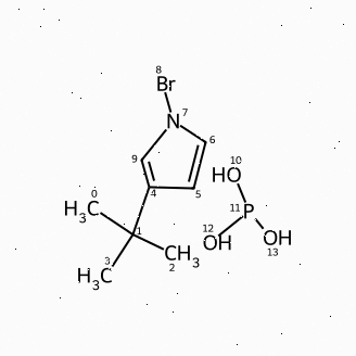 CC(C)(C)c1ccn(Br)c1.OP(O)O